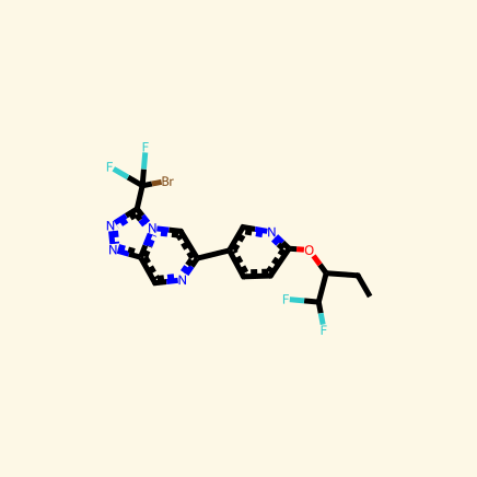 CCC(Oc1ccc(-c2cn3c(C(F)(F)Br)nnc3cn2)cn1)C(F)F